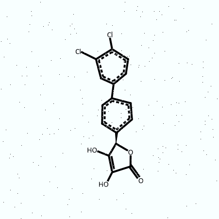 O=C1O[C@H](c2ccc(-c3ccc(Cl)c(Cl)c3)cc2)C(O)=C1O